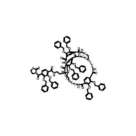 O=C1NCCN2CCNC(=O)c3ccc(c(OCc4ccccc4)c3OCc3ccccc3)C(=O)NCCN(CCNC(=O)c3ccc1c(OCc1ccccc1)c3OCc1ccccc1)CCN(CCNC(=O)c1ccc(C(=O)N3CCSC3=S)c(OCc3ccccc3)c1OCc1ccccc1)CCNC(=O)c1ccc(c(OCc3ccccc3)c1OCc1ccccc1)C(=O)NCC2